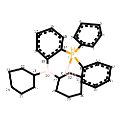 B[PH](c1ccccc1)(c1ccccc1)c1ccccc1B(C1CCCCC1)C1CCCCC1